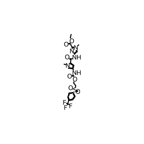 CCOC(=O)c1nc(NC(=O)c2cc(NC(=O)OCCS(=O)(=O)c3ccc(C(F)(F)F)cc3)cn2C)cn1C